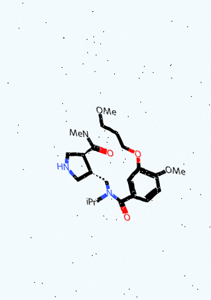 CNC(=O)[C@@H]1CNC[C@H]1CN(C(=O)c1ccc(OC)c(OCCCOC)c1)C(C)C